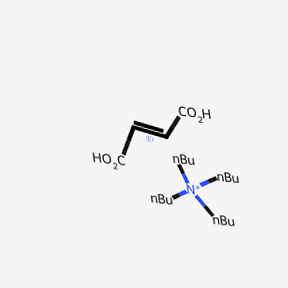 CCCC[N+](CCCC)(CCCC)CCCC.O=C(O)/C=C/C(=O)O